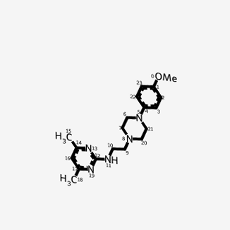 COc1ccc(N2CCN(CCNc3nc(C)cc(C)n3)CC2)cc1